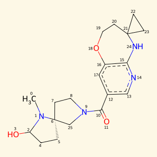 CN1C(O)CC[C@@]12CCN(C(=O)c1cnc3c(c1)OCCC1(CC1)N3)C2